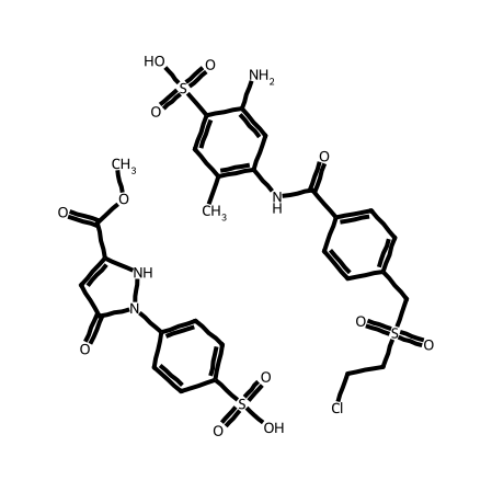 COC(=O)c1cc(=O)n(-c2ccc(S(=O)(=O)O)cc2)[nH]1.Cc1cc(S(=O)(=O)O)c(N)cc1NC(=O)c1ccc(CS(=O)(=O)CCCl)cc1